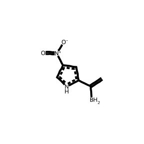 BC(=C)c1cc([N+](=O)[O-])c[nH]1